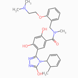 CC1C=CC=CC1n1c(O)nnc1-c1cc(C(=O)N(C)Cc2ccccc2OCCN(C)C)c(O)cc1O